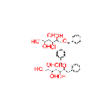 OCC(O)C(O)C(O)C(O)C(Cc1ccccc1)OCc1ccccc1.OCC(O)C(O)C(O)C(O)COCc1ccccc1